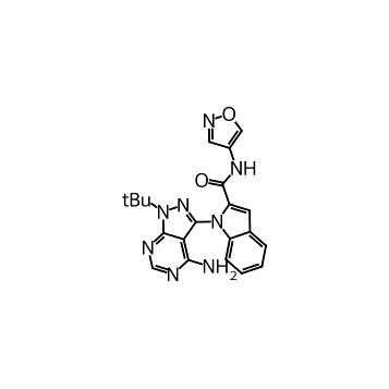 CC(C)(C)n1nc(-n2c(C(=O)Nc3cnoc3)cc3ccccc32)c2c(N)ncnc21